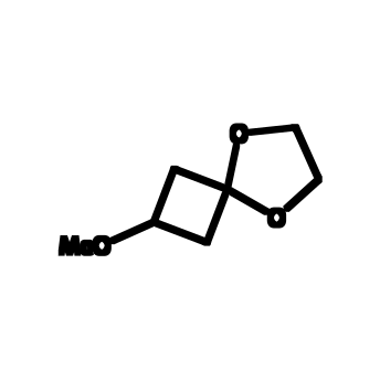 COC1CC2(C1)OCCO2